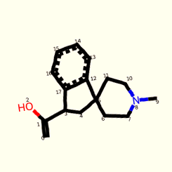 C=C(O)C1CC2(CCN(C)CC2)c2ccccc21